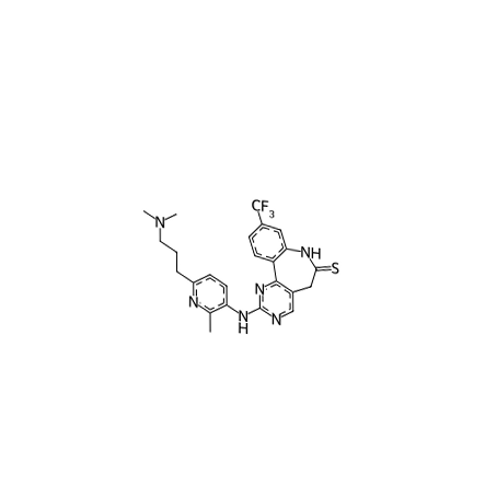 Cc1nc(CCCN(C)C)ccc1Nc1ncc2c(n1)-c1ccc(C(F)(F)F)cc1NC(=S)C2